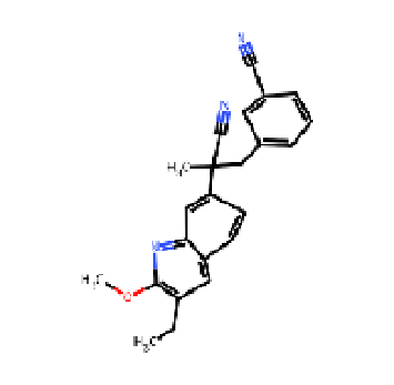 CCc1cc2ccc(C(C)(C#N)Cc3cccc(C#N)c3)cc2nc1OC